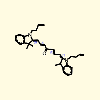 C=CCCN1/C(=C/C=C/C(=O)/C=C/C=C2/N(CCC=C)c3ccccc3C2(C)C)C(C)c2ccccc21